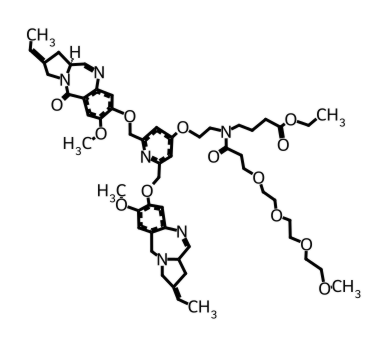 C/C=C1\CC2C=Nc3cc(OCc4cc(OCCN(CCCC(=O)OCC)C(=O)CCOCCOCCOCCOC)cc(COc5cc6c(cc5OC)C(=O)N5C/C(=C/C)C[C@H]5C=N6)n4)c(OC)cc3CN2C1